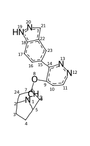 CN1C2CCC1CC(Oc1ccnnc1-c1ccc3[nH]ncc3c1)C2